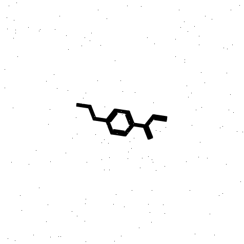 C=CC(=C)c1ccc(CCC)cc1